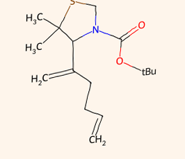 C=CCCC(=C)C1N(C(=O)OC(C)(C)C)CSC1(C)C